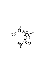 CCN(CC)CCC(=O)N1CC[C@@H](C(=O)N(C)Cc2cc(C(F)(F)F)cc(C(F)(F)F)c2)[C@H](c2ccc(F)cc2C)C1.Cl